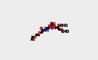 CC(=O)COCCOCC(=O)NCCOP(=O)(O)OCC(COC=O)OC=O